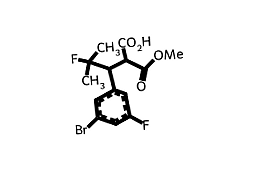 COC(=O)C(C(=O)O)C(c1cc(F)cc(Br)c1)C(C)(C)F